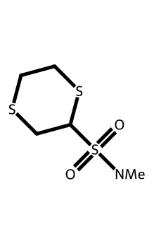 CNS(=O)(=O)C1CSCCS1